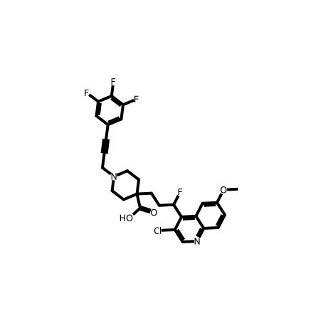 COc1ccc2ncc(Cl)c(C(F)CCC3(C(=O)O)CCN(CC#Cc4cc(F)c(F)c(F)c4)CC3)c2c1